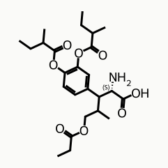 CCC(=O)OCC(C)C(c1ccc(OC(=O)C(C)CC)c(OC(=O)C(C)CC)c1)[C@H](N)C(=O)O